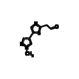 Cn1cc(-c2cnc(CC=O)s2)cn1